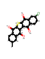 Cc1ccc2c(=O)c3sc4c(=O)c5cc(Cl)ccc5c(=O)c4c3c(=O)c2c1